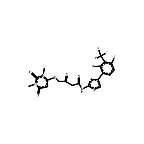 Cn1c(SCC(=O)CC(=O)Nc2nc(-c3ccc(F)c(C(F)(F)F)c3F)cs2)cc(=O)n(C)c1=O